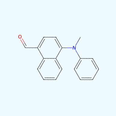 CN(c1ccccc1)c1ccc(C=O)c2ccccc12